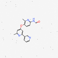 Cc1cc(Oc2ccc(N[C]=O)nc2C)cc(-c2cccnc2)n1